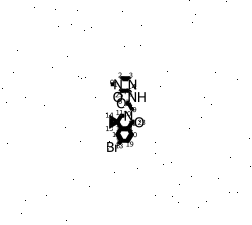 Cn1ccnc(NC(=O)CN2CC3(CC3)c3cc(Br)ccc3C2=O)c1=O